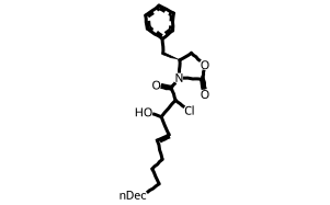 CCCCCCCCCCCCCC=CC(O)C(Cl)C(=O)N1C(=O)OC[C@@H]1Cc1ccccc1